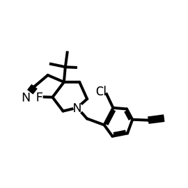 C#Cc1ccc(CN2CCC(CC#N)(C(C)(C)C)C(F)C2)c(Cl)c1